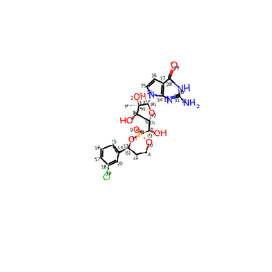 C[C@@]1(O)[C@H](O)[C@@H]([C@@H](O)[P@@]2(=O)OCC[C@@H](c3cccc(Cl)c3)O2)O[C@H]1n1ccc2c(=O)[nH]c(N)nc21